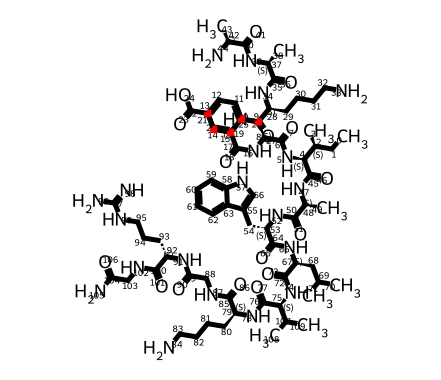 CC[C@H](C)[C@H](NC(=O)[C@H](Cc1ccccc1)NC(=O)[C@H](CCC(=O)O)NC(=O)[C@H](CCCCN)NC(=O)[C@H](C)NC(=O)[C@H](C)N)C(=O)N[C@@H](C)C(=O)N[C@@H](Cc1c[nH]c2ccccc12)C(=O)N[C@@H](CC(C)C)C(=O)N[C@H](C(=O)N[C@@H](CCCCN)C(=O)NCC(=O)N[C@@H](CCCNC(=N)N)C(=O)NCC(N)=O)C(C)C